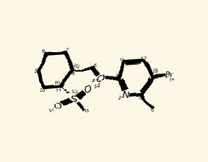 Cc1nc(OC[C@@H]2CCCC[C@H]2S(C)(=O)=O)ccc1Br